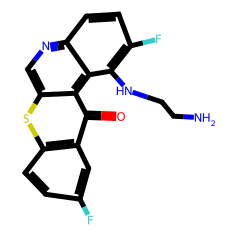 NCCNc1c(F)ccc2ncc3sc4ccc(F)cc4c(=O)c3c12